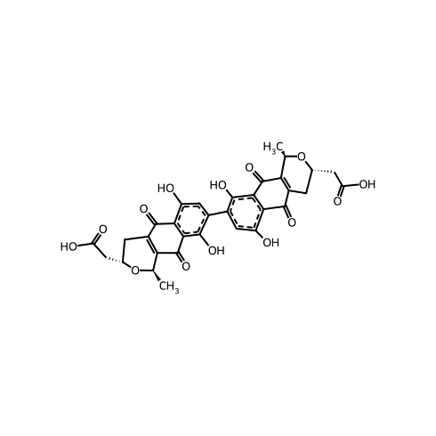 C[C@H]1O[C@H](CC(=O)O)CC2=C1C(=O)c1c(O)c(-c3cc(O)c4c(c3O)C(=O)C3=C(C[C@@H](CC(=O)O)O[C@@H]3C)C4=O)cc(O)c1C2=O